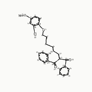 COc1ccc(OCCCCCCC(C(=O)c2ccccc2)C(=O)c2ccccc2)c(Cl)c1